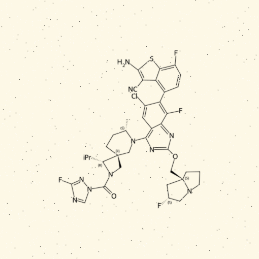 CC(C)[C@H]1N(C(=O)n2cnc(F)n2)C[C@]12CC[C@H](C)N(c1nc(OC[C@@]34CCCN3C[C@H](F)C4)nc3c(F)c(-c4ccc(F)c5sc(N)c(C#N)c45)c(Cl)cc13)C2